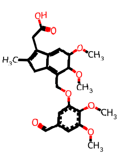 COc1cc(C=O)cc(OCC2=C3CC(C)=C(CC(=O)O)C3=CC(OC)C2OC)c1OC